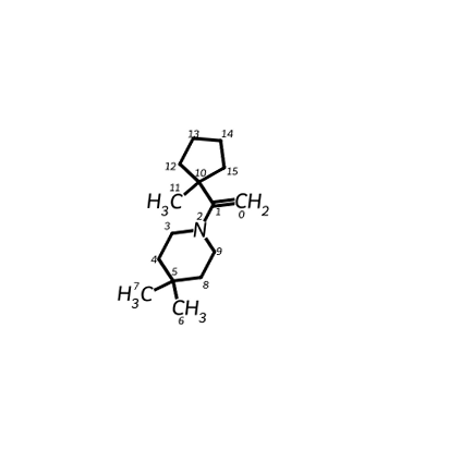 C=C(N1CCC(C)(C)CC1)C1(C)CCCC1